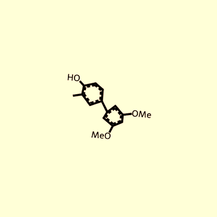 COc1cc(OC)cc(-c2ccc(O)c(C)c2)c1